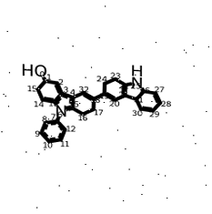 OC1C=c2c3c(n(-c4ccccc4)c2=CC1)CCC(C1=CC2=C(CC1)NC1C=CC=CC21)=C3